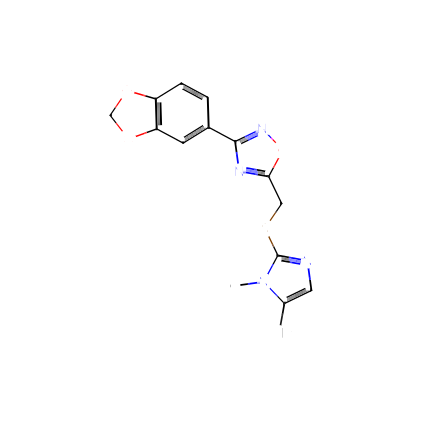 CC(C)c1cnc(SCc2nc(-c3ccc4c(c3)OCO4)no2)n1C